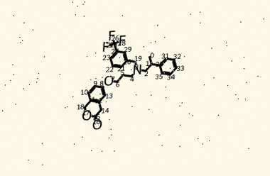 CC(CN(CCCOc1ccc2c(c1)CC(=O)OC2)Cc1cccc(C(F)(F)F)c1)c1ccccc1